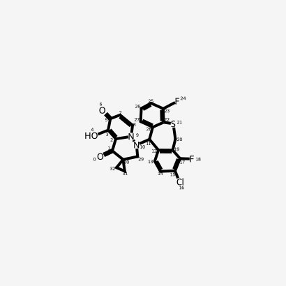 O=C1c2c(O)c(=O)ccn2N(C2c3ccc(Cl)c(F)c3CSc3c(F)cccc32)CC12CC2